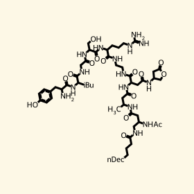 CCCCCCCCCCCCCC(=O)NCC(CC(=O)NC(C)CC(=O)NC(CC(=O)NC1COC(=O)C1)C(=O)NCCNC(=O)C(CCCNC(=N)N)NC(=O)C(CO)NC(=O)CNC(=O)C(NC(=O)C(N)Cc1ccc(O)cc1)C(C)CC)NC(C)=O